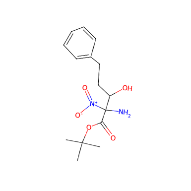 CC(C)(C)OC(=O)C(N)(C(O)CCc1ccccc1)[N+](=O)[O-]